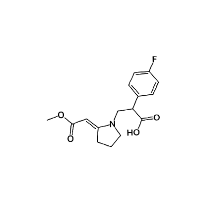 COC(=O)/C=C1\CCCN1CC(C(=O)O)c1ccc(F)cc1